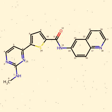 CNc1nccc(-c2ccc(C(=O)Nc3ccc4ncccc4c3)s2)n1